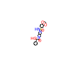 N=S(=O)(c1ccc2c(c1)OCCO2)N1CC2=C(CN(C(=O)C(O)c3ccccc3)C2)C1